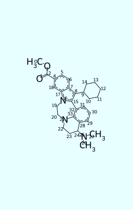 COC(=O)c1ccc2c(C3CCCCC3)c3n(c2c1)CCN1CCC(N(C)C)c2cccc-3c21